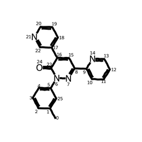 Cc1cccc(-n2nc(-c3ccccn3)cc(-c3cccnc3)c2=O)c1